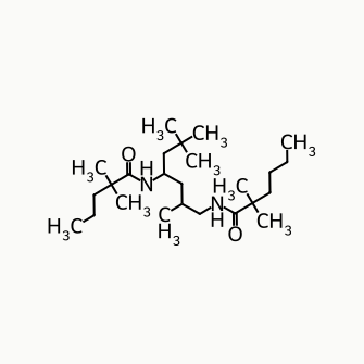 CCCCC(C)(C)C(=O)NCC(C)CC(CC(C)(C)C)NC(=O)C(C)(C)CCC